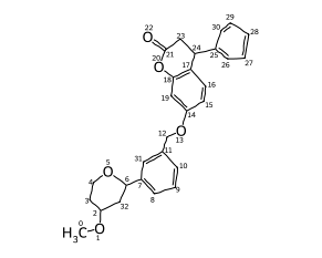 COC1CCOC(c2cccc(COc3ccc4c(c3)OC(=O)CC4c3ccccc3)c2)C1